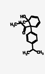 CCC(=O)C1(c2ccc(C(C)C)cc2)C=CC=CC1(C)O